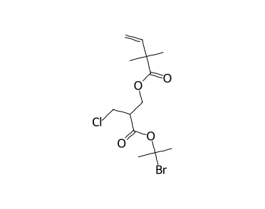 C=CC(C)(C)C(=O)OCC(CCl)C(=O)OC(C)(C)Br